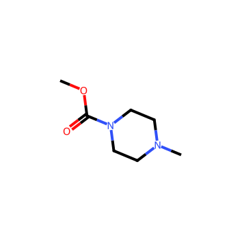 COC(=O)N1CCN(C)CC1